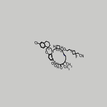 C[C@H]1C/C=C/[C@H](OCCN2CC(F)(CC#N)C2)[C@@H]2CC[C@H]2CN2C[C@@]3(CCCc4cc(Cl)ccc43)COc3ccc(cc32)S(=O)(=O)NC(=O)[C@@H]1C